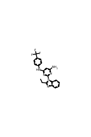 CCc1nc2ccccc2n1-c1nc(N)cc(Nc2ccc(C(F)(F)F)cc2)n1